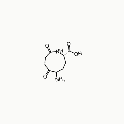 NC1CC[C@@H](C(=O)O)NC(=O)CCC1=O